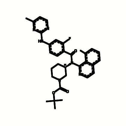 Cc1ccnc(Nc2ccc(C(=O)N(c3nccc4cccc(C)c34)[C@@H]3CCCN(C(=O)OC(C)(C)C)C3)c(F)c2)n1